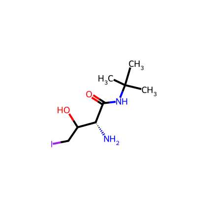 CC(C)(C)NC(=O)[C@H](N)C(O)CI